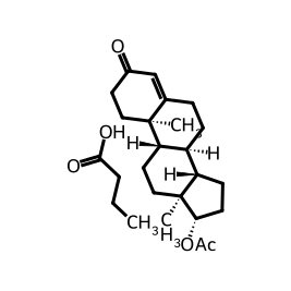 CC(=O)O[C@H]1CC[C@H]2[C@@H]3CCC4=CC(=O)CC[C@]4(C)[C@H]3CC[C@]12C.CCCC(=O)O